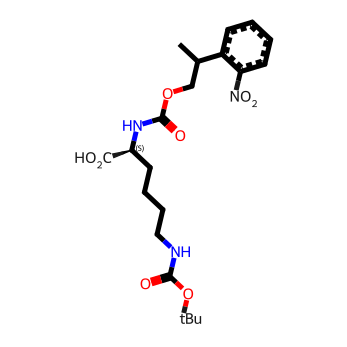 CC(COC(=O)N[C@@H](CCCCNC(=O)OC(C)(C)C)C(=O)O)c1ccccc1[N+](=O)[O-]